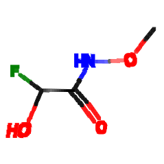 CONC(=O)C(O)F